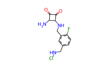 NC1C(=O)C(=O)C1NCc1cc(CNCl)ccc1F